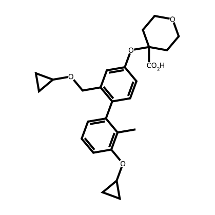 Cc1c(OC2CC2)cccc1-c1ccc(OC2(C(=O)O)CCOCC2)cc1COC1CC1